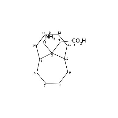 NCC1(CC(=O)O)C2CCCCC1CCCC2